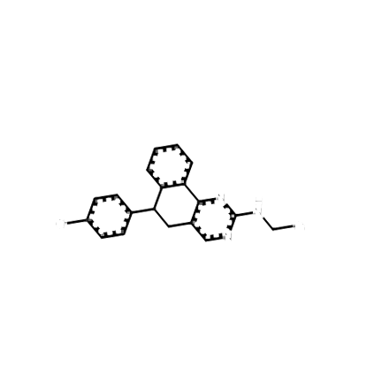 CC(C)CNc1ncc2c(n1)-c1ccccc1C(c1ccc(Cl)cc1)C2